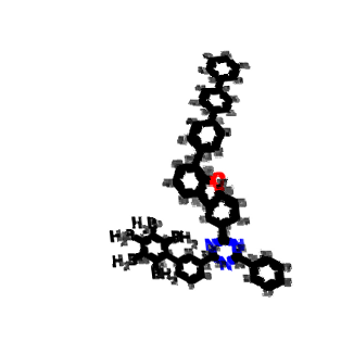 Bc1c(B)c(B)c(-c2cccc(-c3nc(-c4ccccc4)nc(-c4ccc5oc6c(-c7ccc(-c8ccc(-c9ccccc9)cc8)cc7)cccc6c5c4)n3)c2)c(B)c1B